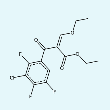 CCOC=C(C(=O)OCC)C(=O)c1cc(F)c(F)c(Cl)c1F